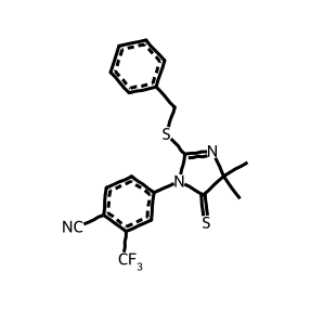 CC1(C)N=C(SCc2ccccc2)N(c2ccc(C#N)c(C(F)(F)F)c2)C1=S